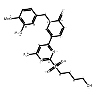 COc1ccc(Cn2cc(-c3cc(C(F)(F)F)nc(S(=O)(=O)CCCCO)n3)ccc2=O)cc1OC